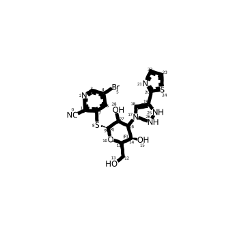 N#Cc1ncc(Br)cc1S[C@H]1OC(CO)[C@H](O)C(N2C=C(c3nccs3)NN2)C1O